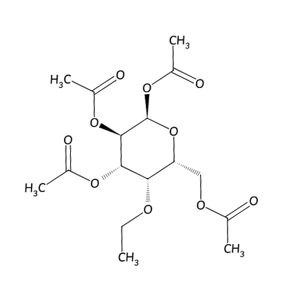 CCO[C@@H]1[C@H](OC(C)=O)[C@@H](OC(C)=O)[C@@H](OC(C)=O)O[C@@H]1COC(C)=O